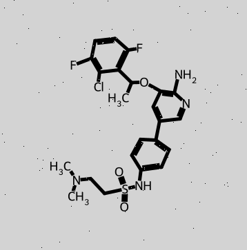 CC(Oc1cc(-c2ccc(NS(=O)(=O)CCN(C)C)cc2)cnc1N)c1c(F)ccc(F)c1Cl